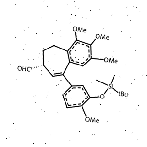 COc1ccc(C2=C[C@H](C=O)CCc3c2cc(OC)c(OC)c3OC)cc1O[Si](C)(C)C(C)(C)C